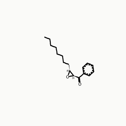 CCCCCCCC[C@H]1O[C@@H]1C(=O)c1ccccc1